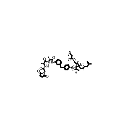 C=C(C)CC[C@H](C)[C@@H]1C[C@H]2O[C@@H](c3ccc(Cc4cccc(NC(=O)[C@H](C)NC(=O)[C@H](C)NC(=O)CN5C(=O)C=CC5=O)c4)cc3)O[C@@]2(C(=O)COC(=O)CN(C)C)[C@@]1(C)CC